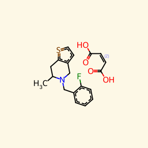 CC1Cc2sccc2CN1Cc1ccccc1F.O=C(O)/C=C\C(=O)O